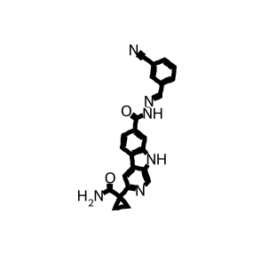 N#Cc1cccc(C=NNC(=O)c2ccc3c(c2)[nH]c2cnc(C4(C(N)=O)CC4)cc23)c1